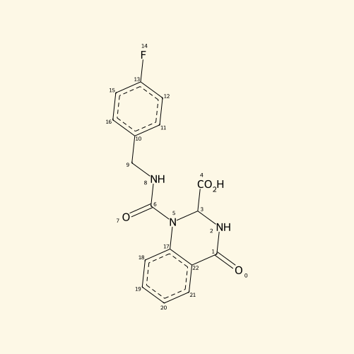 O=C1NC(C(=O)O)N(C(=O)NCc2ccc(F)cc2)c2ccccc21